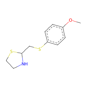 COc1ccc(SCC2NCCS2)cc1